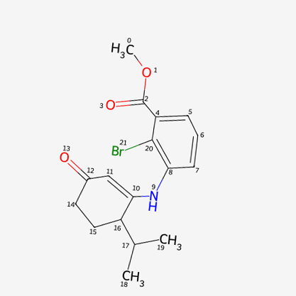 COC(=O)c1cccc(NC2=CC(=O)CCC2C(C)C)c1Br